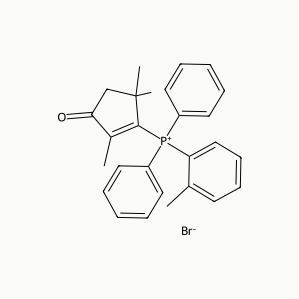 CC1=C([P+](c2ccccc2)(c2ccccc2)c2ccccc2C)C(C)(C)CC1=O.[Br-]